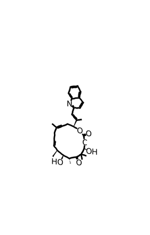 C/C1=C/C[C@@H](/C(C)=C/c2ccc3ccccc3n2)OC(=O)C[C@H](O)C(C)(C)C(=O)[C@H](C)[C@@H](O)[C@@H](C)/C=C/C1